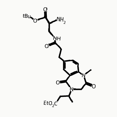 CCOC(=O)CC(C)N1CC(=O)N(C)c2ccc(CCC(=O)NCC(N)C(=O)OC(C)(C)C)cc2C1=O